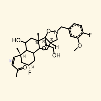 COc1cc(CN2C[C@@H]3CC4C5C[C@H](F)C[C@](C)(/C=C\C(C)=O)C5C(O)C[C@]4(C)[C@]3(C(=O)CO)O2)ccc1F